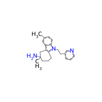 Cc1ccc2c(c1)c1c(n2CCc2cccnc2)CCCC(C)(N)C1